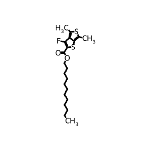 CCCCCCCCCCCCOC(=O)c1sc2c(C)sc(C)c2c1F